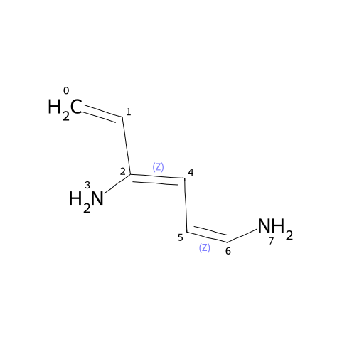 C=C/C(N)=C/C=C\N